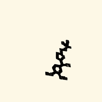 COc1ccc(C(C#N)=C2C=CC(=NOS(C)(=O)=O)S2)cc1OC